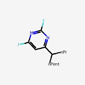 CCCCCC(CCC)c1cc(F)nc(F)n1